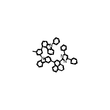 Cc1cc(-c2cccc3c2c2ccccc2n3-c2ccccc2)cc(-n2c3ccccc3c3cc(-c4cc(-c5nc(-c6ccccc6)cc(-c6ccccc6)n5)c5c6c(cccc46)CC=C5)ccc32)c1